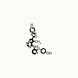 Cc1c(C(=O)N=S2(=O)CCNCC2)cn2ncnc(Nc3cccnc3O[C@H]3CC[C@H](O)CC3)c12